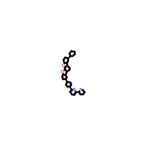 c1ccc(-c2ccc3oc4c(ccc5c6cc(-c7ccc(-c8cccc(-c9ccccn9)n8)cc7)ccc6oc54)c3c2)cc1